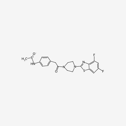 C[S+]([O-])Nc1ccc(CC(=O)N2CCN(c3nc4c(F)cc(F)cc4s3)CC2)cc1